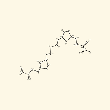 C=C(C)C(=O)OCC1CSC(CSCSCC2SCC(COC(=O)C(=C)C)S2)S1